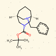 CC(C)(C)OC(=O)N1C[C@H]2CCC[C@@H](C1)N(Cc1ccccc1)C2